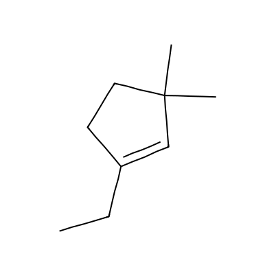 CCC1=CC(C)(C)CC1